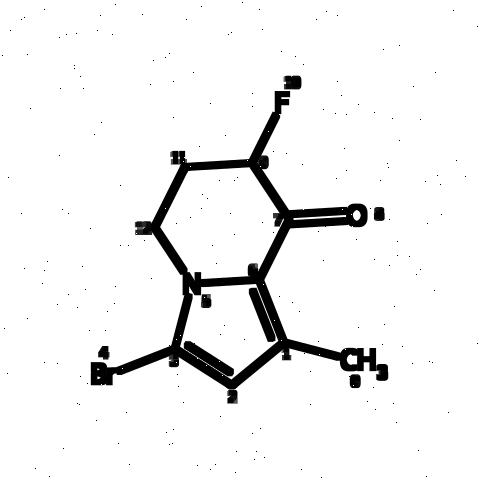 Cc1cc(Br)n2c1C(=O)C(F)CC2